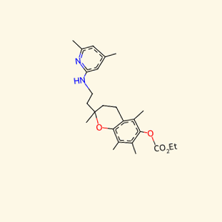 CCOC(=O)Oc1c(C)c(C)c2c(c1C)CCC(C)(CCNc1cc(C)cc(C)n1)O2